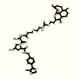 Cc1ncsc1-c1ccc(CNC(=O)C2CC(O)CN2C(=O)C(NC(=O)CCOCCNC(=O)OCCC2OC3OC4(C)CCC5C(C)CCC(C2C)C35OO4)C(C)(C)C)cc1